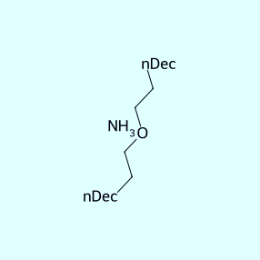 CCCCCCCCCCCCOCCCCCCCCCCCC.N